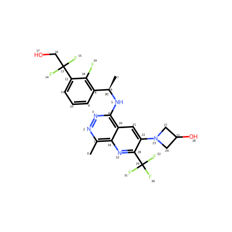 Cc1nnc(N[C@H](C)c2cccc(C(F)(F)CO)c2F)c2cc(N3CC(O)C3)c(C(F)(F)F)nc12